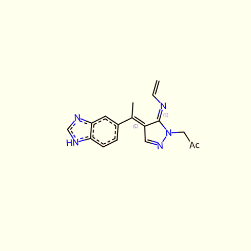 C=C/N=C1\C(=C(/C)c2ccc3[nH]cnc3c2)C=NN1CC(C)=O